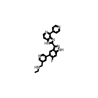 CCNCc1cncc(-c2cc3c(-c4nc5c(-c6ccncc6)nccc5[nH]4)n[nH]c3cc2F)c1